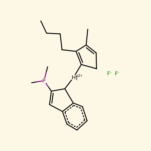 CCCCC1=[C]([Hf+2][CH]2C(P(C)C)=Cc3ccccc32)CC=C1C.[F-].[F-]